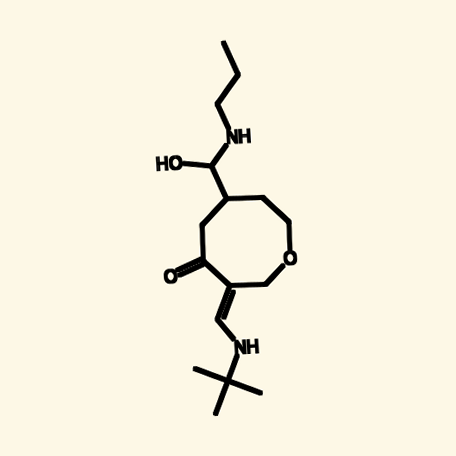 CCCNC(O)C1CCOC/C(=C\NC(C)(C)C)C(=O)C1